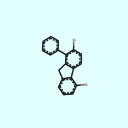 Brc1cccc2c1-c1ccc(Br)c(-c3ccccc3)c1C2